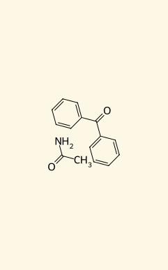 CC(N)=O.O=C(c1ccccc1)c1ccccc1